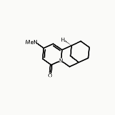 CNc1cc2n(c(=O)c1)CC1CCC[C@H]2C1